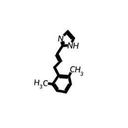 Cc1cccc(C)c1CC=Cc1ncc[nH]1